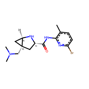 Cc1ccc(Br)nc1NC(=O)[C@@H]1C[C@@]2(CN(C)C)C[C@H]2N1